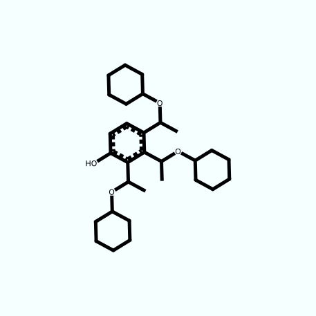 CC(OC1CCCCC1)c1ccc(O)c(C(C)OC2CCCCC2)c1C(C)OC1CCCCC1